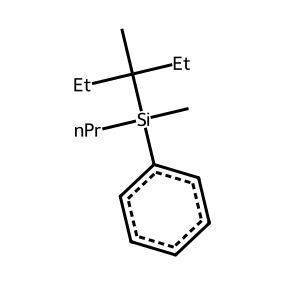 CCC[Si](C)(c1ccccc1)C(C)(CC)CC